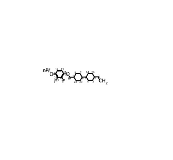 C=CC1CCC(C2CCC(COc3ccc(OCCC)c(F)c3F)CC2)CC1